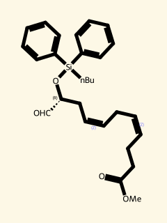 CCCC[Si](O[C@@H](C=O)C/C=C\C/C=C\CCC(=O)OC)(c1ccccc1)c1ccccc1